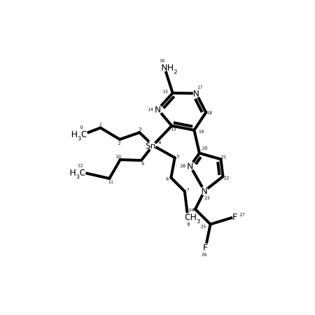 CCC[CH2][Sn]([CH2]CCC)([CH2]CCC)[c]1nc(N)ncc1-c1ccn(CC(F)F)n1